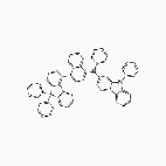 c1ccc(N(c2ccc3c4ccccc4n(-c4ccccc4)c3c2)c2ccc(-c3cccc4c3-c3ccccc3C4(c3ccccc3)c3ccccc3)c3ccccc23)cc1